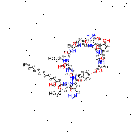 CCC1NC(=O)C(CCC(=O)O)NC(=O)C(C(C)O)NC(=O)C(NC(=O)C(CCCN)NC(=O)C(CCC(=O)O)NC(=O)CC(O)CCCCCCCCCCC(C)C)Cc2ccc(cc2)OC(=O)C(C(C)CC)NC(=O)C(Cc2ccc(O)cc2)NC(=O)C(CCC(N)=O)NC(=O)C2CCCN2C1=O